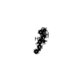 Cc1cc(Nc2ncc(Cl)c(Nc3ccccc3S(=O)(=O)C(C)C)n2)c(OC(C)C)cc1C1CCN(Cc2ccccc2)CC1